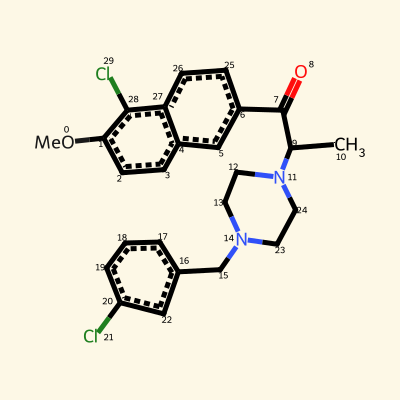 COc1ccc2cc(C(=O)C(C)N3CCN(Cc4cccc(Cl)c4)CC3)ccc2c1Cl